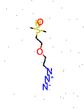 C[SH](C)(=O)CCOCCN=[N+]=[N-]